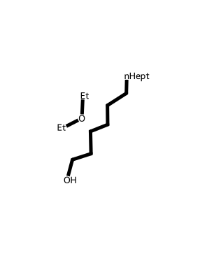 CCCCCCCCCCCCCO.CCOCC